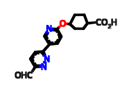 O=Cc1ccc(-c2ccc(OC3CCC(C(=O)O)CC3)nc2)nn1